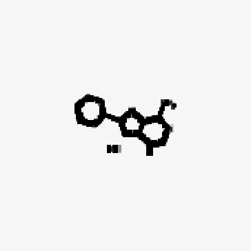 Cl.Nc1nc[nH]c2cc(-c3ccccc3)nc1-2